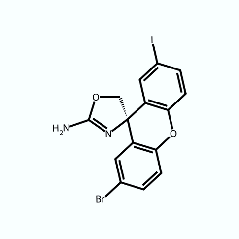 NC1=N[C@]2(CO1)c1cc(Br)ccc1Oc1ccc(I)cc12